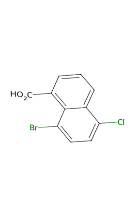 O=C(O)c1cccc2c(Cl)ccc(Br)c12